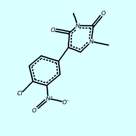 Cn1cc(-c2ccc(Cl)c([N+](=O)[O-])c2)c(=O)n(C)c1=O